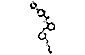 C=CCOC[C@H]1CCCN(CC2CCCCC2NC(=O)c2ccc(-n3ccnc3)nc2)C1